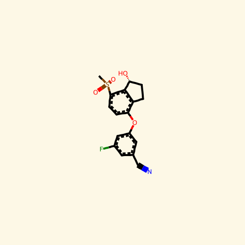 CS(=O)(=O)c1ccc(Oc2cc(F)cc(C#N)c2)c2c1[C@H](O)CC2